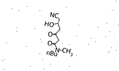 CCCCN(C)C(=O)CC(=O)CC(O)CC#N